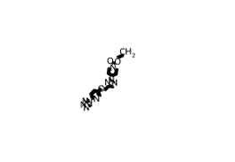 C=CCOC(=O)N1CCC(n2ncc(COc3ccc(-n4cnnn4)nc3)n2)CC1